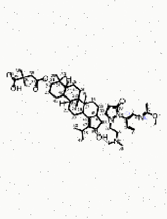 C=C/C(=C\N=C(/C)OC)n1c(=O)cc([C@@]23CC[C@]4(C)C(CC[C@H]5C4(C)CC[C@H]4C(C)(C)[C@@H](OC(=O)CC(C)(C)C(=O)O)CC[C@@]45C)C2=C(C(C)C)[C@@H](O)C3)n1CCN(C)C